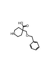 O=C(O)C1(COCc2ccccc2)CCNCC1